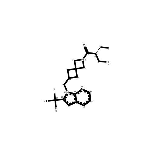 CC[C@H](CO)C(=O)N1CC2(CC(Cn3c(C(F)(F)F)cc4cccnc43)C2)C1